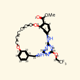 COC(=O)c1ccc2cc1OCCCCCCOc1cccc(c1)CNc1nc(nc(OCC(F)(F)F)n1)N2